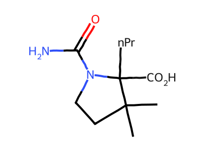 CCCC1(C(=O)O)N(C(N)=O)CCC1(C)C